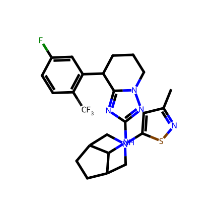 Cc1cc(N2CC3CCC(C2)C3Nc2nc3n(n2)CCCC3c2cc(F)ccc2C(F)(F)F)sn1